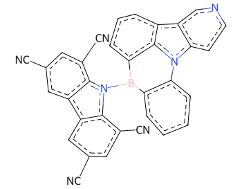 N#Cc1cc(C#N)c2c(c1)c1cc(C#N)cc(C#N)c1n2B1c2ccccc2-n2c3ccncc3c3cccc1c32